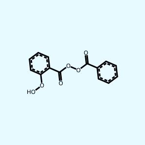 O=C(OOC(=O)c1ccccc1OO)c1ccccc1